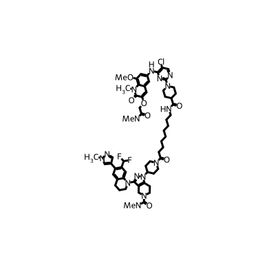 CNC(=O)COc1cc2cc(Nc3nc(N4CCC(C(=O)NCCCCCCCCC(=O)N5CCC(n6nc(N7CCCc8cc(-c9cnn(C)c9)c(C(F)F)cc87)c7c6CCN(C(=O)NC)C7)CC5)CC4)ncc3Cl)cc(OC)c2n(C)c1=O